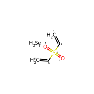 C=CS(=O)(=O)C=C.[SeH2]